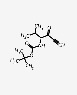 C#CC(=O)[C@@H](NC(=O)OC(C)(C)C)C(C)C